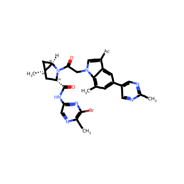 CC(=O)c1cn(CC(=O)N2[C@H](C(=O)Nc3cnc(C)c(Br)n3)C[C@@]3(C)C[C@@H]23)c2c(C)cc(-c3cnc(C)nc3)cc12